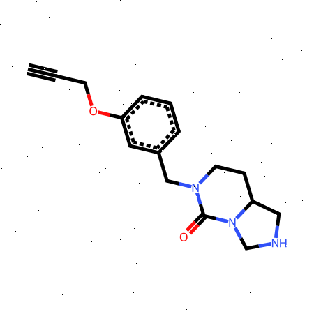 C#CCOc1cccc(CN2CCC3CNCN3C2=O)c1